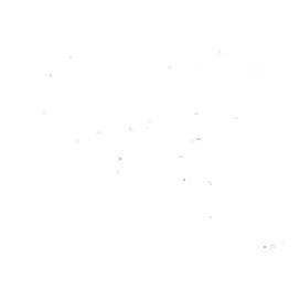 NCCN1CCCN(C(=O)N[C@H](C(=O)N[C@H]2Cc3cccc(C(=O)O)c3OB2O)c2c(F)cc(O)cc2F)C1=O